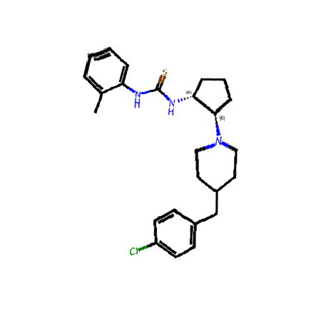 Cc1ccccc1NC(=S)N[C@@H]1CCC[C@H]1N1CCC(Cc2ccc(Cl)cc2)CC1